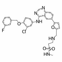 CNS(=O)(=O)CCNCc1ccc(-c2ccc3ncnc(Nc4ccc(OCc5cccc(F)c5)c(Cl)c4)c3c2)o1